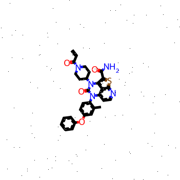 C=CC(=O)N1CCC(N2C(=O)N(c3ccc(Oc4ccccc4)cc3C)c3ccnc4sc(C(N)=O)c2c34)CC1